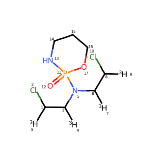 [3H]C(Cl)C([3H])N(C([3H])C([3H])Cl)P1(=O)NCCCO1